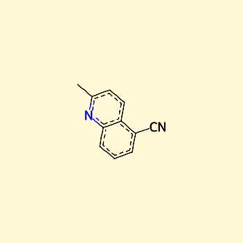 Cc1ccc2c(C#N)cccc2n1